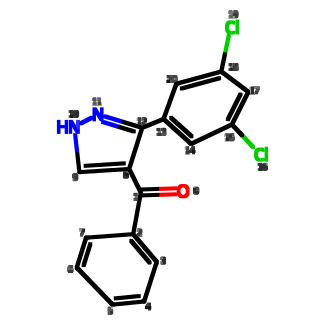 O=C(c1ccccc1)c1c[nH]nc1-c1cc(Cl)cc(Cl)c1